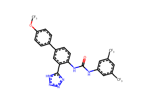 O=C(Nc1cc(C(F)(F)F)cc(C(F)(F)F)c1)Nc1ccc(-c2ccc(OC(F)(F)F)cc2)cc1-c1nnn[nH]1